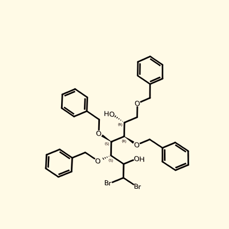 OC(C(Br)Br)[C@H](OCc1ccccc1)[C@@H](OCc1ccccc1)[C@H](OCc1ccccc1)[C@H](O)COCc1ccccc1